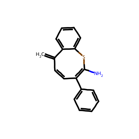 C=C1/C=C\C(c2ccccc2)=C(\N)Sc2ccccc21